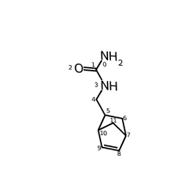 NC(=O)NCC1CC2C=CC1C2